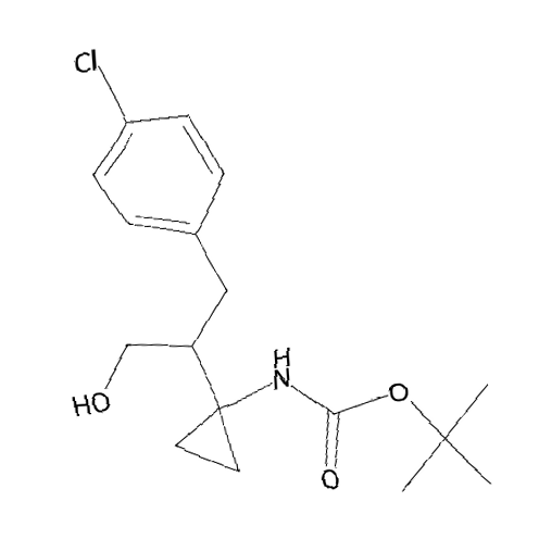 CC(C)(C)OC(=O)NC1(C(CO)Cc2ccc(Cl)cc2)CC1